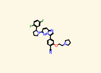 N#Cc1ccc(-c2cnc3ccc(N4CCCC4c4cc(F)ccc4F)nn23)cc1OCCN1CCCC1